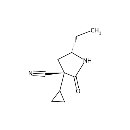 CC[C@H]1C[C@@](C#N)(C2CC2)C(=O)N1